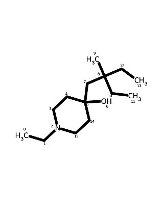 CCN1CCC(O)(CC(C)(CC)CC)CC1